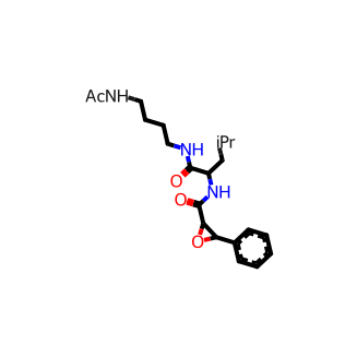 CC(=O)NCCCCNC(=O)C(CC(C)C)NC(=O)C1OC1c1ccccc1